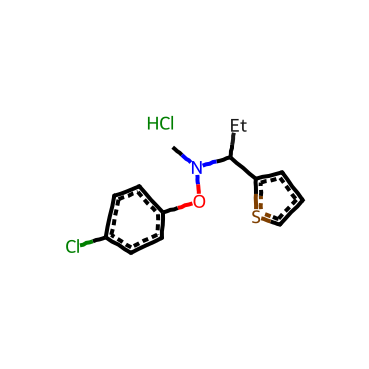 CCC(c1cccs1)N(C)Oc1ccc(Cl)cc1.Cl